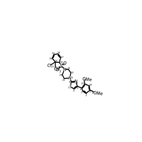 COc1ccc(-c2csc(N3CCN(S(=O)(=O)C4C=CC=CC4(C)Cl)CC3)n2)c(OC)c1